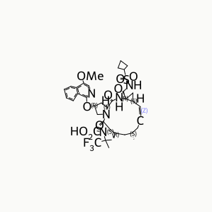 COc1cnc(O[C@@H]2C[C@H]3C(=O)N[C@]4(C(=O)NS(=O)(=O)C5CCC5)C[C@H]4/C=C\CC[C@H](C)C[C@@H](C)[C@H](N(C(=O)O)C(C)(C)C(F)(F)F)C(=O)N3C2)c2ccccc12